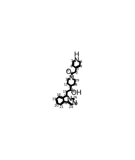 O=C(CC1=CCNC=C1)N1CCC(C(O)CC2c3ccccc3-c3cncn32)CC1